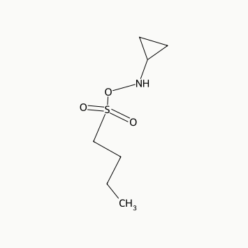 CCCCS(=O)(=O)ONC1CC1